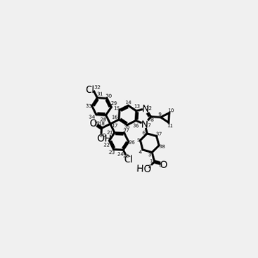 O=C(O)C1CCC(n2c(C3CC3)nc3ccc(C(C(=O)O)(c4ccc(Cl)cc4)c4ccc(Cl)cc4)cc32)CC1